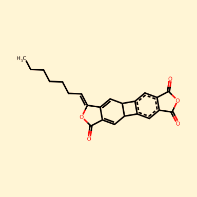 CCCCCCC=C1OC(=O)C2=CC3c4cc5c(cc4C3C=C12)C(=O)OC5=O